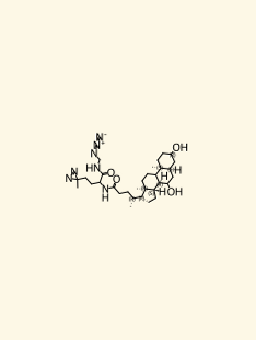 C[C@H](CCC(=O)NC(CCC1(C)N=N1)C(=O)NCN=[N+]=[N-])[C@H]1CC[C@H]2[C@@H]3C(O)C[C@@H]4C[C@H](O)CC[C@]4(C)C3CC[C@]12C